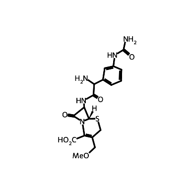 COCC1=C(C(=O)O)N2C(=O)C(NC(=O)C(N)c3cccc(NC(N)=O)c3)[C@@H]2SC1